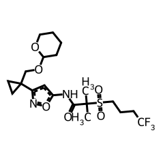 CC(C)(C(=O)Nc1cc(C2(COC3CCCCO3)CC2)no1)S(=O)(=O)CCCC(F)(F)F